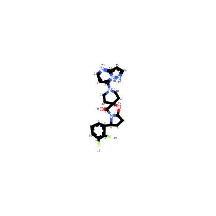 O=C1N2C(CCC2c2cccc(F)c2F)OC12CCN(c1ccnc3ccnn13)CC2